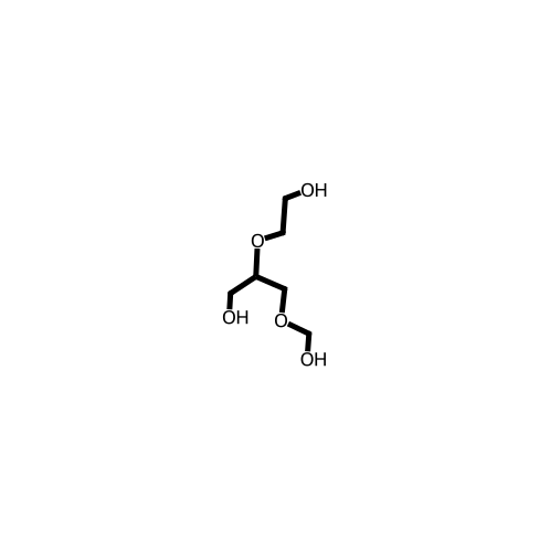 OCCOC(CO)COCO